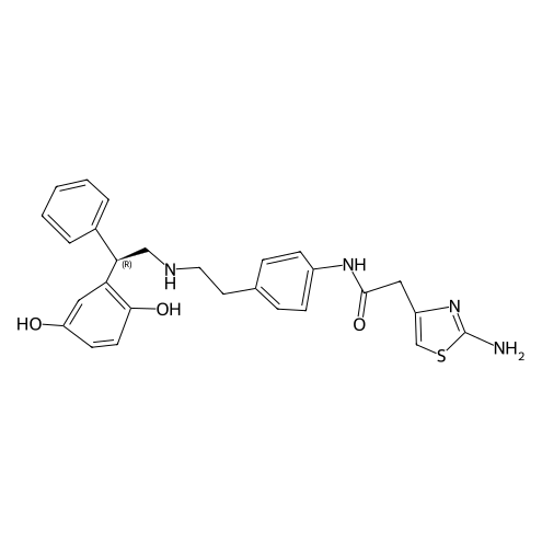 Nc1nc(CC(=O)Nc2ccc(CCNC[C@H](c3ccccc3)c3cc(O)ccc3O)cc2)cs1